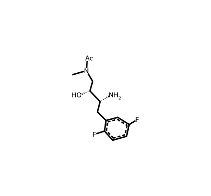 CC(=O)N(C)C[C@@H](O)[C@H](N)Cc1cc(F)ccc1F